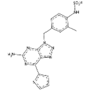 Cc1cc(Cn2nnc3c(-c4cccs4)nc(N)nc32)ccc1NS(=O)(=O)O